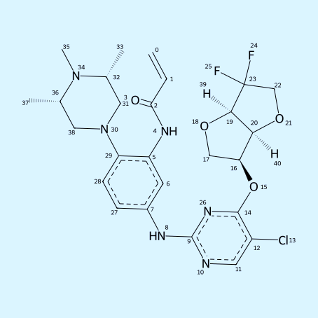 C=CC(=O)Nc1cc(Nc2ncc(Cl)c(O[C@H]3CO[C@@H]4[C@H]3OCC4(F)F)n2)ccc1N1C[C@@H](C)N(C)[C@@H](C)C1